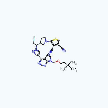 C[Si](C)(C)CCOCn1ccc2c(-c3cnn(C(CF)[C@H]4CCN(c5scc(C#N)c5C#N)C4)c3)ncnc21